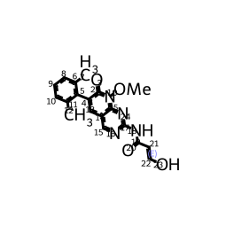 COn1c(=O)c(-c2c(C)cccc2C)cc2cnc(NC(=O)/C=C/O)nc21